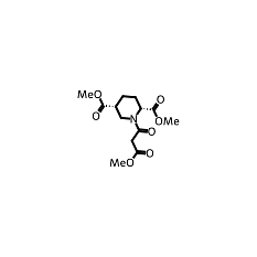 COC(=O)CC(=O)N1C[C@H](C(=O)OC)CC[C@@H]1C(=O)OC